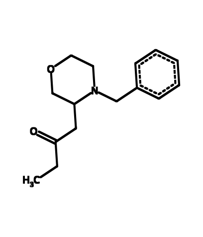 CCC(=O)CC1COCCN1Cc1ccccc1